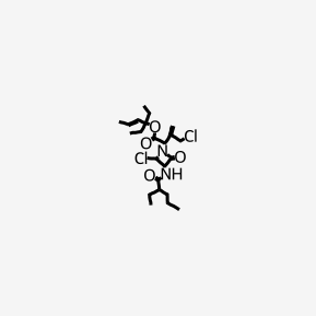 C=C(CCl)C(C(=O)OC(C=CC)(CC)CC)N1C(=O)C(NC(=O)C(CC)CCC)C1Cl